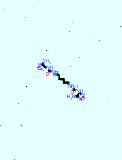 Nc1nonc1NC(=O)N/N=C/CCC/C=N/NC(=O)Nc1nonc1N